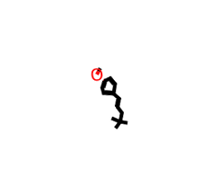 COc1ccc(/C=C/CC(C)(C)C)cc1